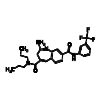 CCCN(CCC)C(=O)C1=Cc2ccc(C(=O)Nc3cccc(C(F)(F)F)c3)cc2N=C(N)C1